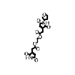 C1CCOC1.O=C1C=C(CC(=O)OCCOC(=O)CC2=CC(=O)NC2=O)C(=O)N1